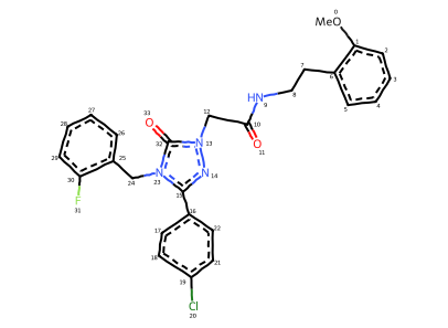 COc1ccccc1CCNC(=O)Cn1nc(-c2ccc(Cl)cc2)n(Cc2ccccc2F)c1=O